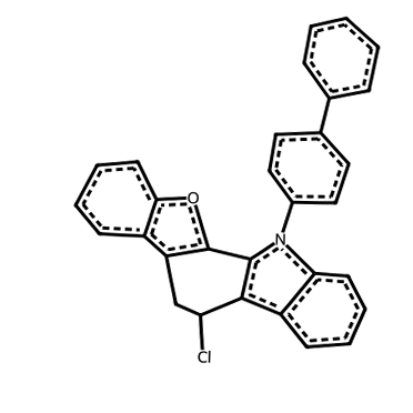 ClC1Cc2c(oc3ccccc23)-c2c1c1ccccc1n2-c1ccc(-c2ccccc2)cc1